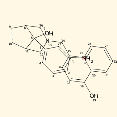 Nc1cccc(C2(O)C3CCC2CN(Cc2ccc(O)c4ccccc24)C3)c1